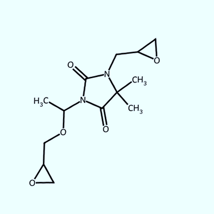 CC(OCC1CO1)N1C(=O)N(CC2CO2)C(C)(C)C1=O